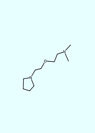 CN(C)CCOCCN1CCCC1